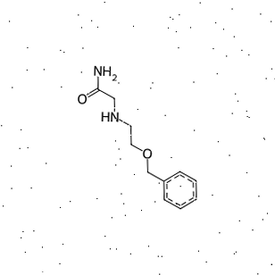 NC(=O)CNCCOCc1ccccc1